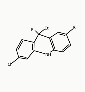 CCC1(CC)c2ccc(Cl)cc2Nc2ccc(Br)cc21